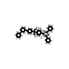 CCC(CC)(c1ccc(-c2cccc(-c3ccccc3)c2)cc1)c1ccc(-c2nc(-c3ccccc3)nc(-c3ccccc3)n2)cc1